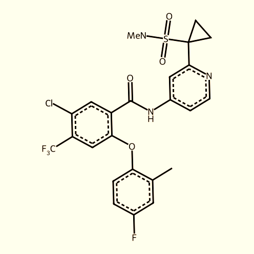 CNS(=O)(=O)C1(c2cc(NC(=O)c3cc(Cl)c(C(F)(F)F)cc3Oc3ccc(F)cc3C)ccn2)CC1